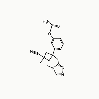 Cn1cnnc1CC1(c2cccc(OC(N)=O)c2)CC(C)(C#N)C1